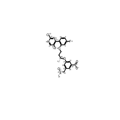 C[C@H](CCOc1cc(F)ccc1-c1nc(Cl)ncc1F)Oc1cc(C[S@+](C)[O-])cc([N+](=O)[O-])c1